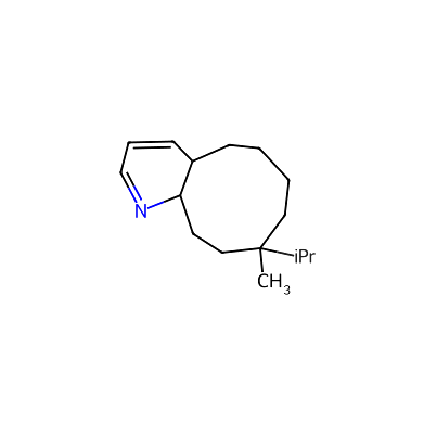 CC(C)C1(C)CCCCC2C=CC=NC2CC1